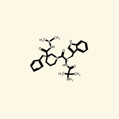 CN(C)NC(=O)[C@@]1(Cc2ccccc2)CCCN(C(=O)[C@@H](Cc2c[nH]c3ccccc23)NC(=O)C(C)(C)N)C1